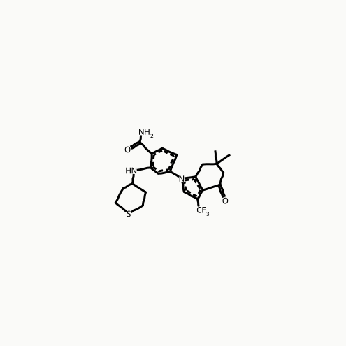 CC1(C)CC(=O)c2c(C(F)(F)F)cn(-c3ccc(C(N)=O)c(NC4CCSCC4)c3)c2C1